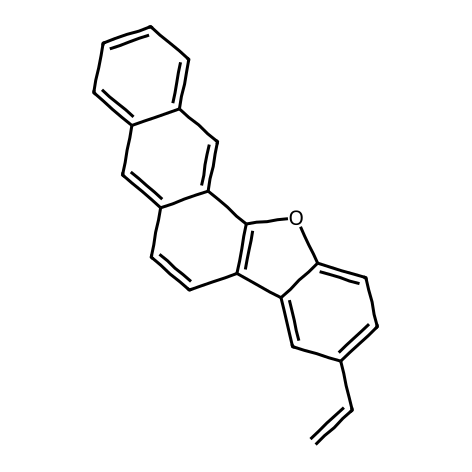 C=Cc1ccc2oc3c4cc5ccccc5cc4ccc3c2c1